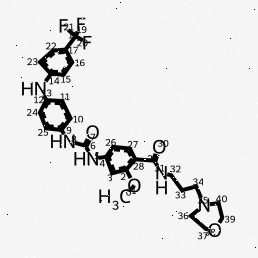 COc1cc(NC(=O)Nc2ccc(Nc3ccc(C(F)(F)F)cc3)cc2)ccc1C(=O)NCCCN1CCOCC1